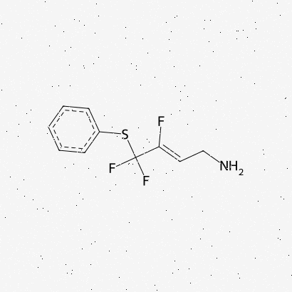 NC/C=C(\F)C(F)(F)Sc1ccccc1